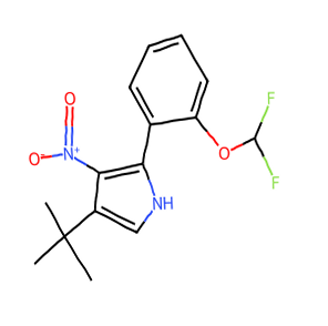 CC(C)(C)c1c[nH]c(-c2ccccc2OC(F)F)c1[N+](=O)[O-]